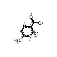 Cc1cnc(C(=O)[O-])cn1.[K+]